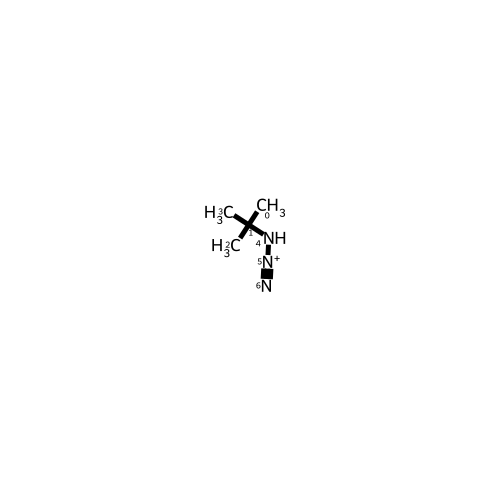 CC(C)(C)N[N+]#N